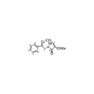 COC1=CN(C)C(CC(=O)c2ccccc2)C1=O